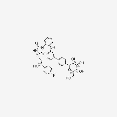 O=C1N[C@@H](CC[C@H](O)c2ccc(F)cc2)[C@@H](c2ccc(-c3ccc(C4O[C@H](CO)[C@@H](O)[C@H](O)[C@H]4O)cc3)cc2O)N1c1ccccc1